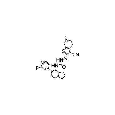 CN1CCc2c(sc(SNC(=O)Nc3c(-c4ccnc(F)c4)ccc4c3CCC4)c2C#N)C1